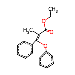 CCOC(=O)C(C)=C(Oc1ccccc1)c1ccccc1